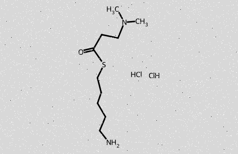 CN(C)CCC(=O)SCCCCCN.Cl.Cl